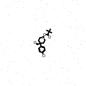 CC(C)(C)C(=O)ON1CCC(C=O)(c2ccc(Cl)cc2)CC1